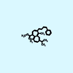 COC(=O)C1=CC=C(C=C/C=C\c2ccccc2)C(C)=C2C=C(C(C)C)C=CC(C)=C12